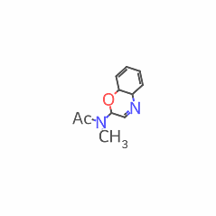 CC(=O)N(C)C1C=NC2C=CC=CC2O1